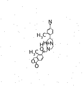 Cc1cc(C#N)ccc1C1C[C@H]2CN(C[C@@H](O)c3ccc4c(c3C)COC4=O)CCN2C1